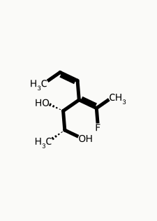 C/C=C\C(=C(/C)F)[C@@H](O)[C@@H](C)O